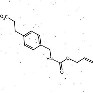 C=CCOC(=O)NCc1ccc(CCC(=O)O)cc1